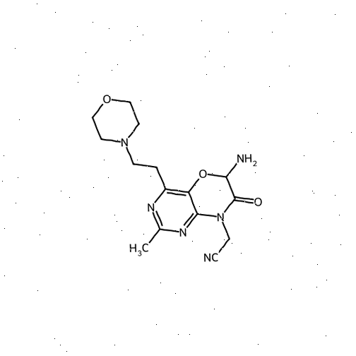 Cc1nc(CCN2CCOCC2)c2c(n1)N(CC#N)C(=O)C(N)O2